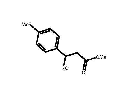 [C-]#[N+]C(CC(=O)OC)c1ccc(SC)cc1